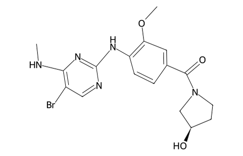 CNc1nc(Nc2ccc(C(=O)N3CC[C@@H](O)C3)cc2OC)ncc1Br